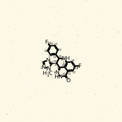 Cn1ncnc1[C@@H]1c2n[nH]c(=O)c3cc(F)cc(c23)NC1c1ccc(F)cc1